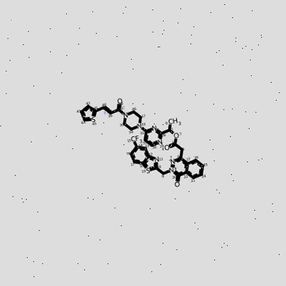 CC(OC(=O)Cc1nn(Cc2nc3cc(C(F)(F)F)ccc3s2)c(=O)c2ccccc12)c1nccc(N2CCN(C(=O)/C=C/c3cccs3)CC2)n1